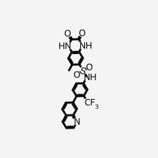 Cc1cc2[nH]c(=O)c(=O)[nH]c2cc1S(=O)(=O)Nc1ccc(-c2ccc3cccnc3c2)c(C(F)(F)F)c1